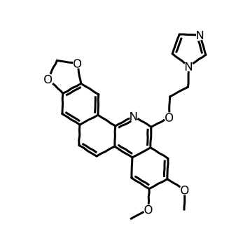 COc1cc2c(OCCn3ccnc3)nc3c4cc5c(cc4ccc3c2cc1OC)OCO5